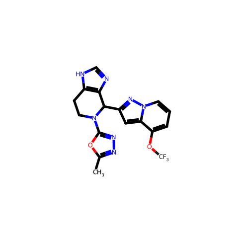 Cc1nnc(N2CCc3[nH]cnc3C2c2cc3c(OC(F)(F)F)cccn3n2)o1